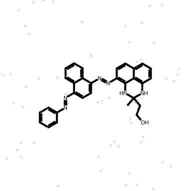 CC1(CCO)Nc2cccc3ccc(/N=N/c4ccc(/N=N/c5ccccc5)c5ccccc45)c(c23)N1